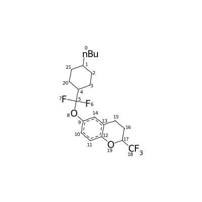 CCCCC1CCC(C(F)(F)Oc2ccc3c(c2)CCC(C(F)(F)F)O3)CC1